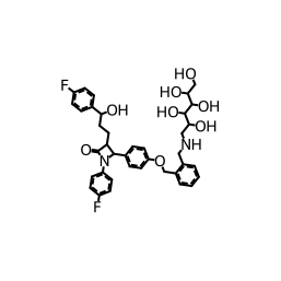 O=C1C(CCC(O)c2ccc(F)cc2)C(c2ccc(OCc3ccccc3CNCC(O)C(O)C(O)C(O)CO)cc2)N1c1ccc(F)cc1